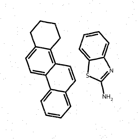 Nc1nc2ccccc2s1.c1ccc2c(c1)ccc1c3c(ccc12)CCCC3